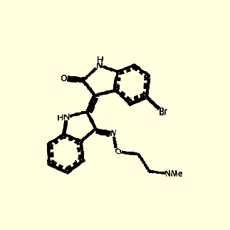 CNCCO/N=C1/C(=C2/C(=O)Nc3ccc(Br)cc32)Nc2ccccc21